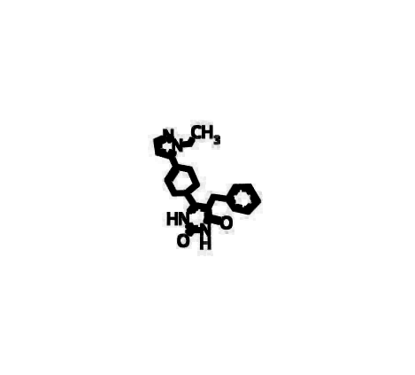 CCn1nccc1C1=CCC(c2[nH]c(=O)[nH]c(=O)c2Cc2ccccc2)CC1